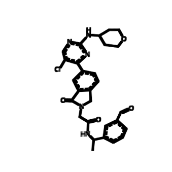 CC(NC(=O)CN1Cc2ccc(-c3nc(NC4CCOCC4)ncc3Cl)cc2C1=O)c1cccc(C=O)c1